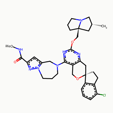 CONC(=O)c1cc2n(n1)CCCN(c1nc(OC[C@@]34CCCN3C[C@H](C)C4)nc3c1CO[C@@]1(CCc4c(Cl)cccc41)C3)C2